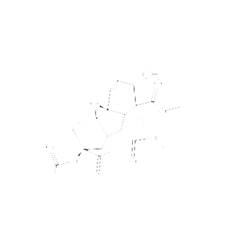 C=C1C[C@]23C[C@@]1(OC(C)=O)CC[C@@]21O[C@]12C=C[C@H](O)[C@@](C)(C(=O)OC)[C@H]2[C@@H]3C(=O)OC